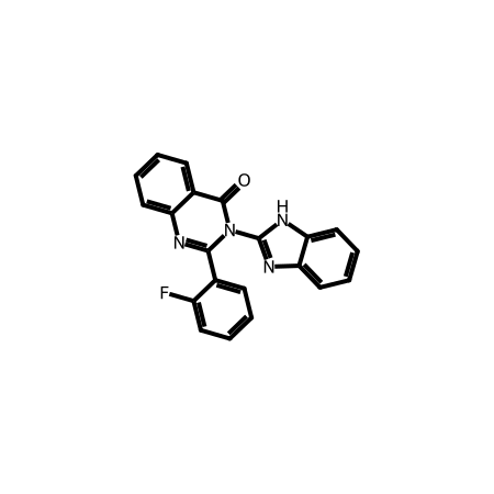 O=c1c2ccccc2nc(-c2ccccc2F)n1-c1nc2ccccc2[nH]1